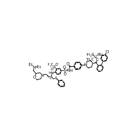 CCN(CC)CC1CN(CC[C@H](CSc2ccccc2)Nc2ccc(S(=O)(=O)NC(=O)c3ccc(N4CCC([C@@H](O[Si](C)(C)C(C)(C)C)c5ccccc5-c5ccc(Cl)cc5)CC4)cc3)cc2S(=O)(=O)C(F)(F)F)CCO1